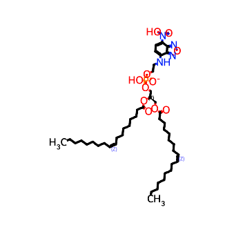 CCCCCCCC/C=C\CCCCCCCC(=O)OC[C@H](CO[P+]([O-])(O)OCCNc1ccc([N+](=O)O)c2nonc12)OC(=O)CCCCCCC/C=C\CCCCCCCC